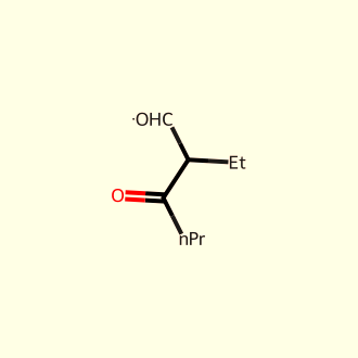 CCCC(=O)C([C]=O)CC